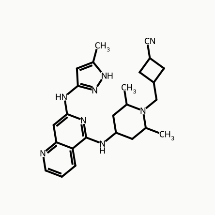 Cc1cc(Nc2cc3ncccc3c(NC3CC(C)N(CC4CC(C#N)C4)C(C)C3)n2)n[nH]1